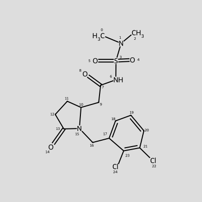 CN(C)S(=O)(=O)NC(=O)CC1CCC(=O)N1Cc1cccc(Cl)c1Cl